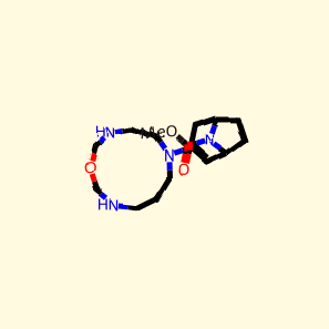 COC(=O)N1C2C=C(N3CCCNCOCNCC3)CC1CC2